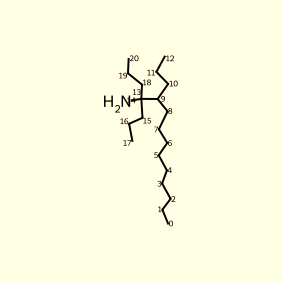 CCCCCCCCCC(CCC)C(N)(CCC)CCC